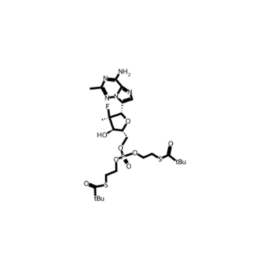 Cc1nc(N)c2ncc([C@@H]3O[C@H](COP(=O)(OCCSC(=O)C(C)(C)C)OCCSC(=O)C(C)(C)C)[C@@H](O)[C@@]3(C)F)n2n1